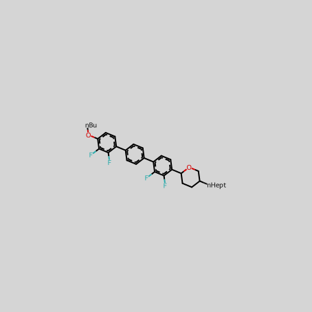 CCCCCCCC1CCC(c2ccc(-c3ccc(-c4ccc(OCCCC)c(F)c4F)cc3)c(F)c2F)OC1